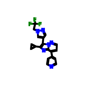 FC(F)(F)Cn1cc(-c2c(C3CC3)nc3c(-c4ccncc4)ccnn23)cn1